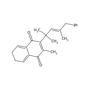 CC1=C(C(C)(C)/C=C(\C)CC(C)C)C(=O)C2=CCCC=C2C1=O